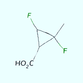 CC1(F)C(F)C1C(=O)O